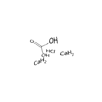 Cl.O=C(O)O.[CaH2].[CaH2]